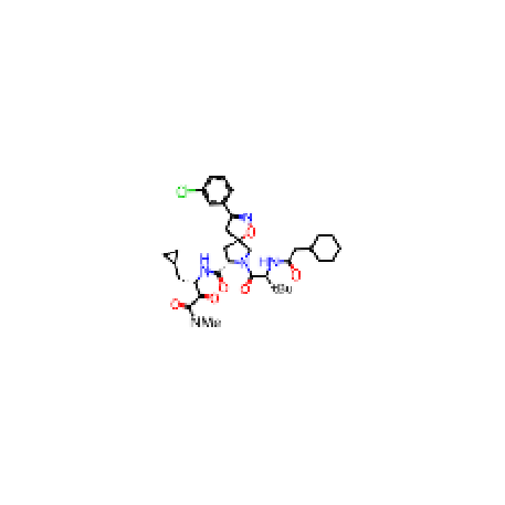 CNC(=O)C(=O)[C@H](CC1CC1)NC(=O)[C@@H]1C[C@]2(CC(c3cccc(Cl)c3)=NO2)CN1C(=O)[C@@H](NC(=O)CC1CCCCC1)C(C)(C)C